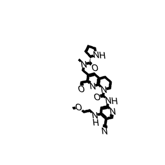 COCCNc1cc(NC(=O)N2CCCc3cc(CN(C)C(=O)[C@@H]4CCCN4)c(C=O)nc32)ncc1C#N